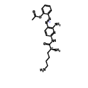 CC(=O)Oc1ccccc1/N=N/c1ccc(NC(=O)[C@@H](N)CCCCN)nc1N